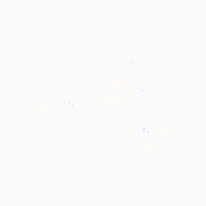 CCNC(=O)N1CCCC(NS(C)(=O)=O)C1CO[C@@H]1CCN(C(=O)c2ccccc2)C1